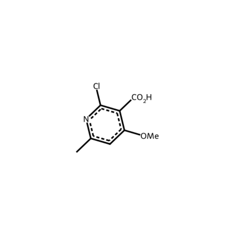 COc1cc(C)nc(Cl)c1C(=O)O